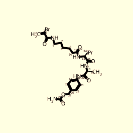 C=C(Br)C(=O)NCCCCCC(=O)N[C@H](C(=O)N[C@@H](C)C(=O)Nc1ccc(COC(N)=O)cc1)C(C)C